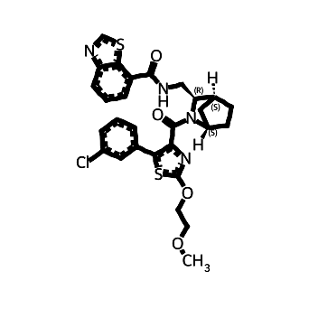 COCCOc1nc(C(=O)N2[C@H]3CC[C@@H](C3)[C@@H]2CNC(=O)c2cccc3ncsc23)c(-c2cccc(Cl)c2)s1